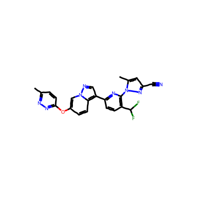 Cc1ccc(Oc2ccc3c(-c4ccc(C(F)F)c(-n5nc(C#N)cc5C)n4)cnn3c2)nn1